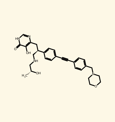 C[C@@H](O)CNC[C@@H](Cc1nc[nH]c(=O)c1O)c1ccc(C#Cc2ccc(CN3CCOCC3)cc2)cc1